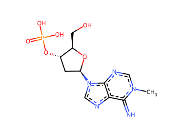 Cn1cnc2c(ncn2[C@H]2C[C@H](OP(=O)(O)O)[C@@H](CO)O2)c1=N